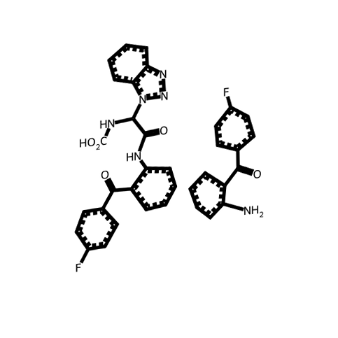 Nc1ccccc1C(=O)c1ccc(F)cc1.O=C(O)NC(C(=O)Nc1ccccc1C(=O)c1ccc(F)cc1)n1nnc2ccccc21